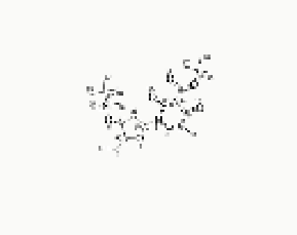 CC[C@H]1O[C@@H](n2cc(C)c(=O)n(C(=O)OC(C)(C)C)c2=O)CC1O[Si](C)(C)C(C)(C)C